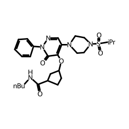 CCCCNC(=O)C1CCC(Oc2c(N3CCN(S(=O)(=O)C(C)C)CC3)cnn(-c3ccccc3)c2=O)C1